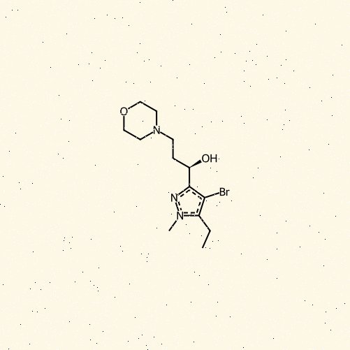 CCc1c(Br)c([C@H](O)CCN2CCOCC2)nn1C